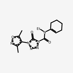 CCN(C(=O)n1nnn(-c2c(C)noc2C)c1=O)C1=CCCCC1